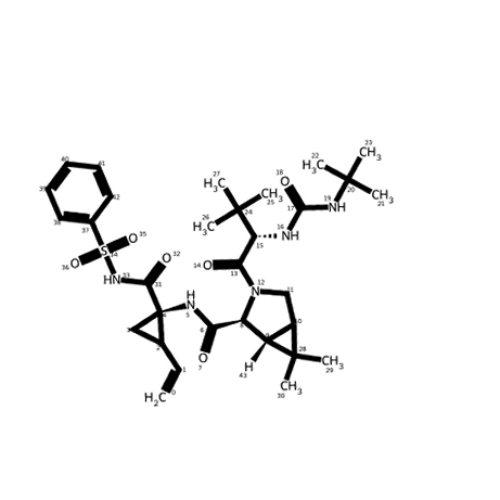 C=CC1C[C@]1(NC(=O)[C@@H]1[C@@H]2C(CN1C(=O)[C@@H](NC(=O)NC(C)(C)C)C(C)(C)C)C2(C)C)C(=O)NS(=O)(=O)c1ccccc1